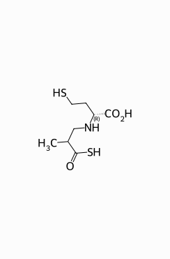 CC(CN[C@H](CCS)C(=O)O)C(=O)S